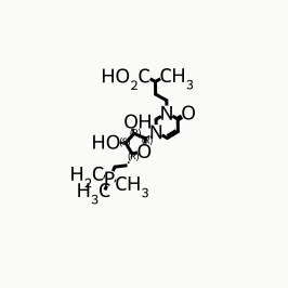 C=P(C)(C)CC[C@H]1O[C@@H](N2C=CC(=O)N(CCC(C)C(=O)O)C2)[C@H](O)[C@@H]1O